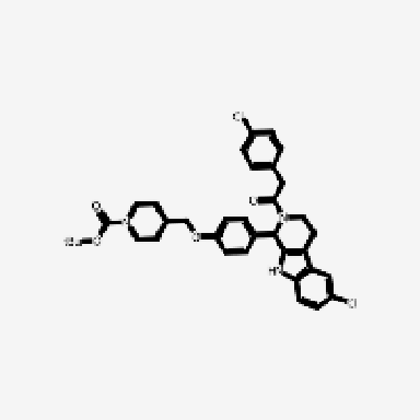 CC(C)(C)OC(=O)N1CCC(COc2ccc(C3c4[nH]c5ccc(Cl)cc5c4CCN3C(=O)Cc3ccc(Cl)cc3)cc2)CC1